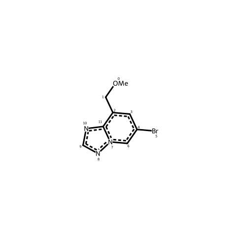 COCc1cc(Br)cn2ncnc12